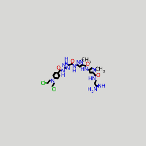 Cn1cc(NC(=O)c2cc(NC(=O)c3nc(NC(=O)c4ccc(N(CCCl)CCCl)cc4)n[nH]3)nn2C)cc1C(=O)NCCC(=N)N